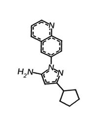 Nc1cc(C2CCCC2)nn1-c1ccc2ncccc2c1